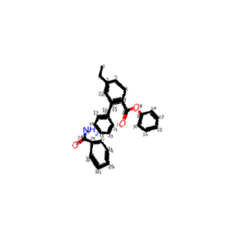 CCc1ccc(C(=O)Oc2ccccc2)c(-c2ccccc2)c1.NC(=O)c1ccccc1